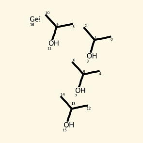 CC(C)O.CC(C)O.CC(C)O.CC(C)O.[Ge]